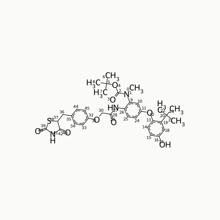 CN(C(=O)OC(C)(C)C)c1cc(Oc2ccc(O)cc2C(C)(C)C)ccc1NC(=O)COc1ccc(CC2SC(=O)NC2=O)cc1